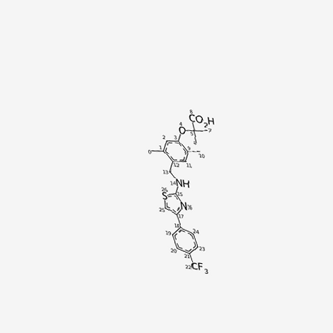 Cc1cc(OC(C)(C)C(=O)O)c(C)cc1CNc1nc(-c2ccc(C(F)(F)F)cc2)cs1